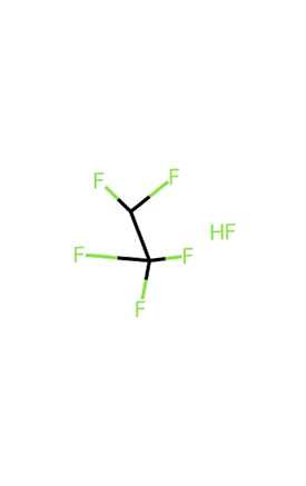 F.FC(F)C(F)(F)F